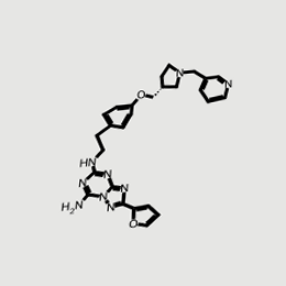 Nc1nc(NCCc2ccc(OC[C@@H]3CCN(Cc4cccnc4)C3)cc2)nc2nc(-c3ccco3)nn12